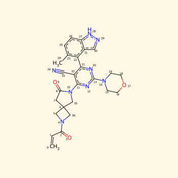 C=CC(=O)N1CC2(CC(=O)N(c3nc(N4CCOCC4)nc(-c4c(C)ccc5[nH]ncc45)c3C#N)C2)C1